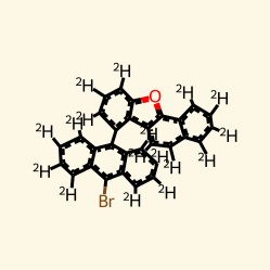 [2H]c1c([2H])c(-c2c3c([2H])c([2H])c([2H])c([2H])c3c(Br)c3c([2H])c([2H])c([2H])c([2H])c23)c2c(oc3c4c([2H])c([2H])c([2H])c([2H])c4c([2H])c([2H])c32)c1[2H]